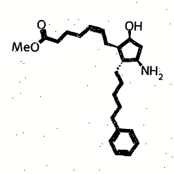 COC(=O)CCC/C=C\C[C@@H]1[C@@H](CCCCCc2ccccc2)[C@H](N)C[C@@H]1O